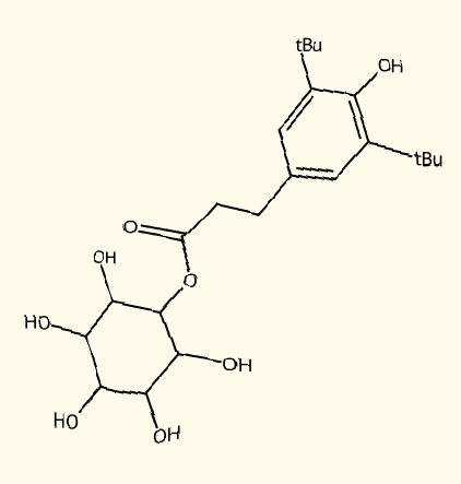 CC(C)(C)c1cc(CCC(=O)OC2C(O)C(O)C(O)C(O)C2O)cc(C(C)(C)C)c1O